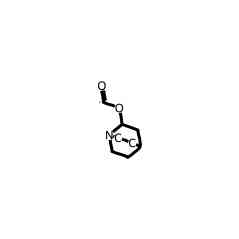 O=[C]OC1CC2CCN1CC2